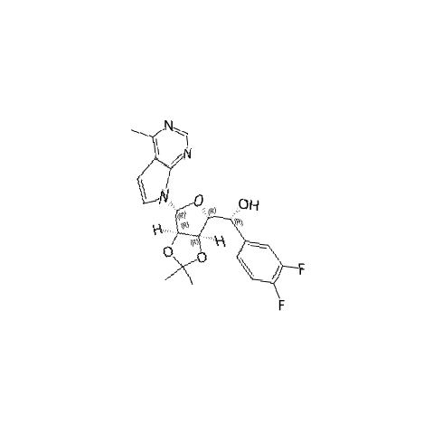 Cc1ncnc2c1ccn2[C@@H]1O[C@H]([C@H](O)c2ccc(F)c(F)c2)[C@H]2OC(C)(C)O[C@H]21